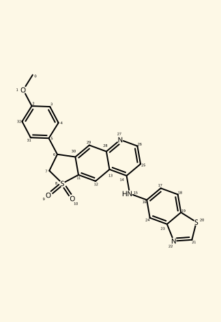 COc1ccc(C2CS(=O)(=O)c3cc4c(Nc5ccc6scnc6c5)ccnc4cc32)cc1